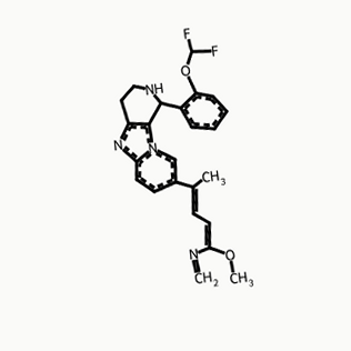 C=N/C(=C\C=C(/C)c1ccc2nc3c(n2c1)C(c1ccccc1OC(F)F)NCC3)OC